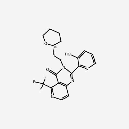 O=c1c2c(C(F)(F)F)nccc2nc(-c2ncccc2O)n1CC[C@H]1CCCCO1